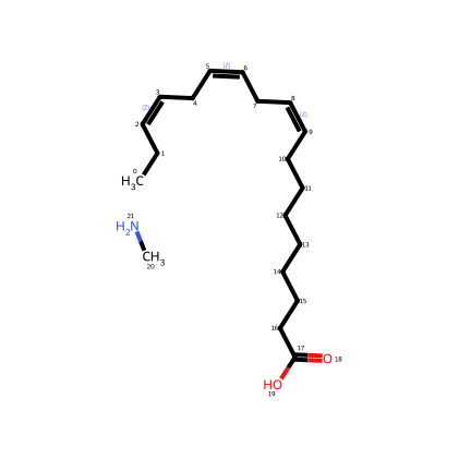 CC/C=C\C/C=C\C/C=C\CCCCCCCC(=O)O.CN